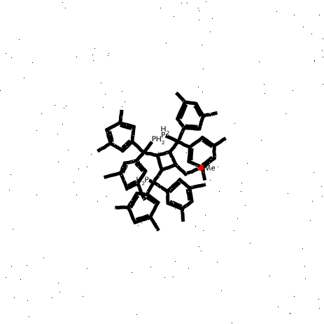 COCC1C(C(P)(c2cc(C)cc(C)c2)c2cc(C)cc(C)c2)C(C(P)(c2cc(C)cc(C)c2)c2cc(C)cc(C)c2)C1C(P)(c1cc(C)cc(C)c1)c1cc(C)cc(C)c1